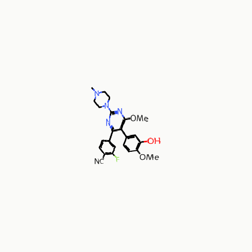 COc1ccc(-c2c(OC)nc(N3CCN(C)CC3)nc2-c2ccc(C#N)c(F)c2)cc1O